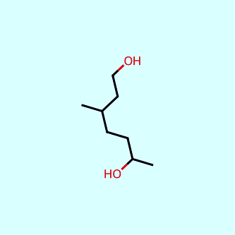 CC(O)CCC(C)CCO